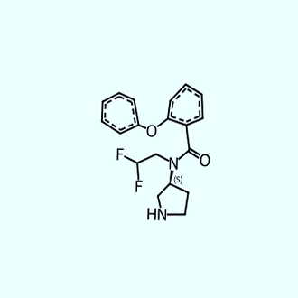 O=C(c1ccccc1Oc1ccccc1)N(CC(F)F)[C@H]1CCNC1